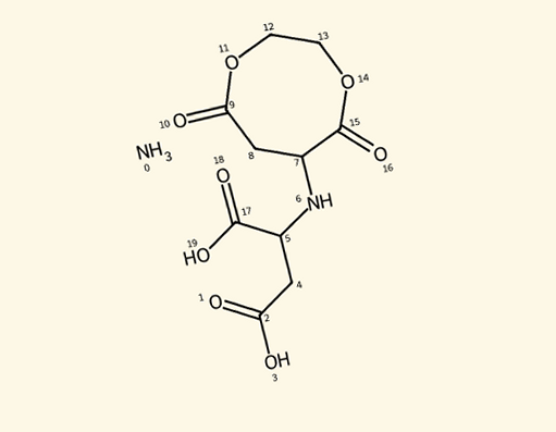 N.O=C(O)CC(NC1CC(=O)OCCOC1=O)C(=O)O